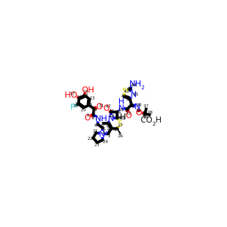 CC1=C(C[N+]2(CCNC(=O)C(=O)c3cc(O)c(O)c(F)c3)CCCC2)[C@H](C)S[C@@H]2[C@H](NC(=O)/C(=N\OC(C)(C)C(=O)O)c3csc(N)n3)C(=O)N12